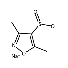 Cc1noc(C)c1S(=O)[O-].[Na+]